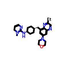 CCc1cnc2cc(N3CCOCC3)cc(C[C@H]3CC[C@@H](NC4=NC=CCN4C)CC3)c2n1